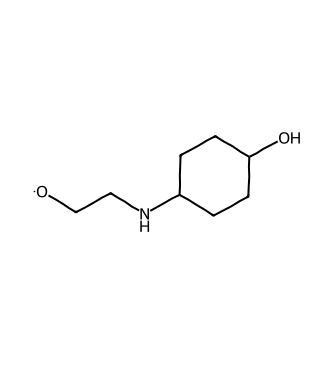 [O]CCNC1CCC(O)CC1